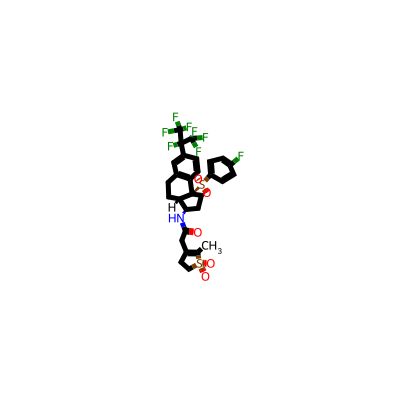 CC1=C(CC(=O)N[C@@H]2CC[C@@]3(S(=O)(=O)c4ccc(F)cc4)c4ccc(C(F)(C(F)(F)F)C(F)(F)F)cc4CC[C@@H]23)CCS1(=O)=O